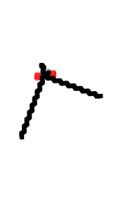 C=CCC([C]=O)(CCCCCCCCCCCCCCCC)C(=O)CCCCCCCCCCCCCCCCC